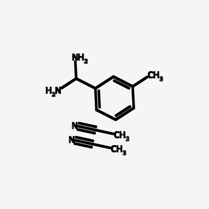 CC#N.CC#N.Cc1cccc(C(N)N)c1